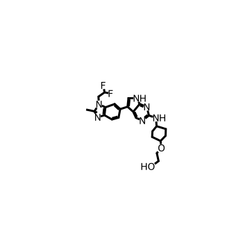 Cc1nc2ccc(-c3c[nH]c4nc(NC5CCC(OCCO)CC5)ncc34)cc2n1CC(F)F